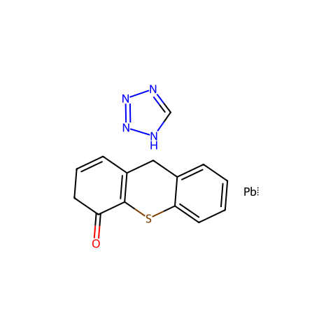 O=C1CC=CC2=C1Sc1ccccc1C2.[Pb].c1nnn[nH]1